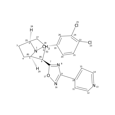 CN1[C@H]2CC[C@@H]1[C@H](c1nc(-c3ccncc3)no1)[C@@H](c1ccc(Cl)c(Cl)c1)C2